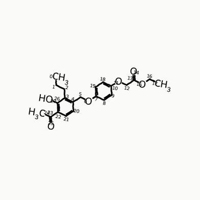 CCCc1c(COc2ccc(OCC(=O)OCC)cc2)ccc(C(C)=O)c1O